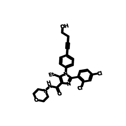 CCc1c(C(=O)NN2CCOCC2)nc(-c2ccc(Cl)cc2Cl)n1-c1ccc(C#CCCO)cc1